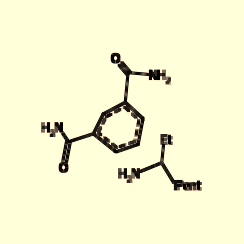 CCCC(C)C(N)CC.NC(=O)c1cccc(C(N)=O)c1